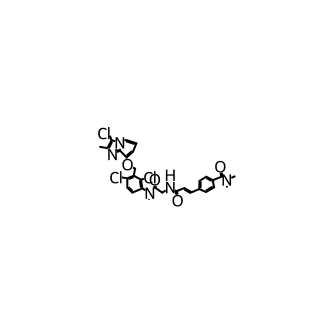 Cc1nc2c(OCc3c(Cl)ccc(N(C)C(=O)CNC(=O)C=Cc4ccc(C(=O)N(C)C)cc4)c3Cl)cccn2c1Cl